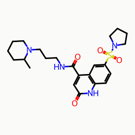 CC1CCCCN1CCCNC(=O)c1cc(=O)[nH]c2ccc(S(=O)(=O)N3CCCC3)cc12